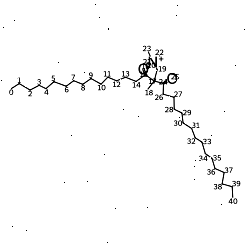 CCCCCCCCCCCCCCCC(=O)C(C)(C[N+](C)(C)C)C(=O)CCCCCCCCCCCCCCC